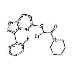 CCC(Sc1ccc2nnc(-c3ccccc3F)n2n1)C(=O)N1CCCCC1